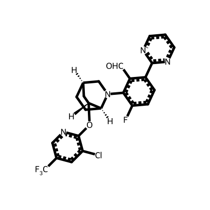 O=Cc1c(-c2ncccn2)ccc(F)c1N1C[C@@H]2CC[C@H]1[C@H](Oc1ncc(C(F)(F)F)cc1Cl)C2